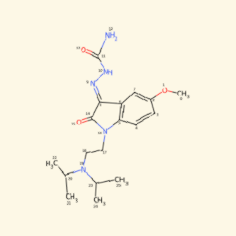 COc1ccc2c(c1)/C(=N\NC(N)=O)C(=O)N2CCN(C(C)C)C(C)C